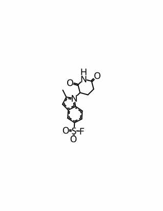 Cc1cc2cc(S(=O)(=O)F)ccc2n1C1CCC(=O)NC1=O